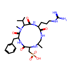 CC1CNC(=O)C(CCCNC(=N)N)NC(=O)C(C(C)C)N(C)C(=O)C(Cc2ccccc2)NC(=O)C(CS(=O)(=O)O)N1